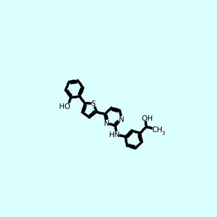 CC(O)c1cccc(Nc2nccc(-c3ccc(-c4ccccc4O)s3)n2)c1